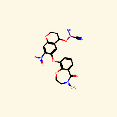 CN1CCOc2c(Oc3cc4c(cc3[N+](=O)[O-])OCCC4OP(N)C#N)cccc2C1=O